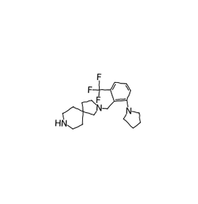 FC(F)(F)c1cccc(N2CCCC2)c1CN1CCC2(CCNCC2)C1